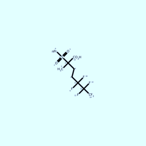 CCCS(=O)(=O)C(C)(CCC(F)(F)C(F)(F)C(F)(F)F)C(=O)O